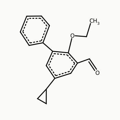 CCOc1c(C=O)cc(C2CC2)cc1-c1ccccc1